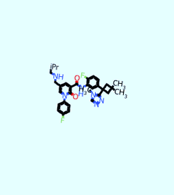 CC(C)CNCc1cc(C(=O)Nc2cc(C3(c4nncn4C)CC(C)(C)C3)ccc2F)c(=O)n(-c2ccc(F)cc2)c1